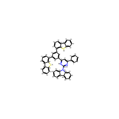 c1ccc(-c2cc(-c3cc(-c4cccc5c4sc4ccccc45)cc(-c4cccc5c4sc4ccccc45)c3)nc(-n3c4ccccc4c4ccccc43)n2)cc1